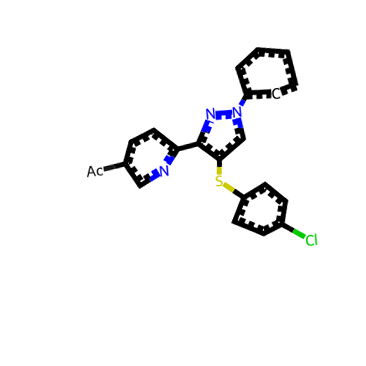 CC(=O)c1ccc(-c2nn(-c3ccccc3)cc2Sc2ccc(Cl)cc2)nc1